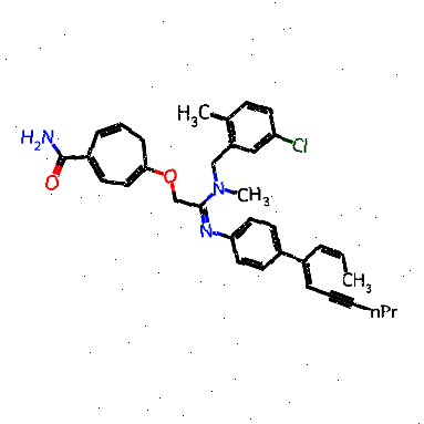 C/C=C\C(=C/C#CCCC)c1ccc(/N=C(/COC2=CC=C(C(N)=O)C=CC2)N(C)Cc2cc(Cl)ccc2C)cc1